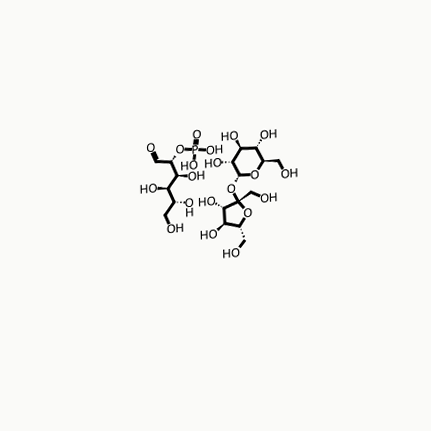 O=C[C@H](OP(=O)(O)O)[C@@H](O)[C@H](O)[C@H](O)CO.OC[C@H]1O[C@@](CO)(O[C@H]2O[C@H](CO)[C@@H](O)[C@H](O)[C@H]2O)[C@@H](O)[C@@H]1O